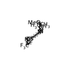 COCC(C)(C)NCc1cn(CCCCCCSc2ccnc3cc(C(F)(F)F)ccc23)nn1